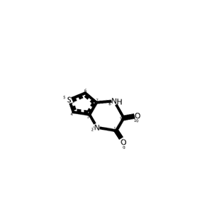 O=C1[N]c2cscc2NC1=O